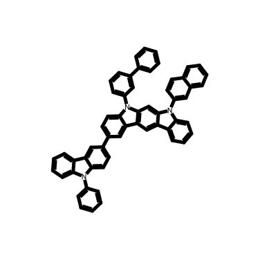 c1ccc(-c2cccc(-n3c4ccc(-c5ccc6c(c5)c5ccccc5n6-c5ccccc5)cc4c4cc5c6ccccc6n(-c6ccc7ccccc7c6)c5cc43)c2)cc1